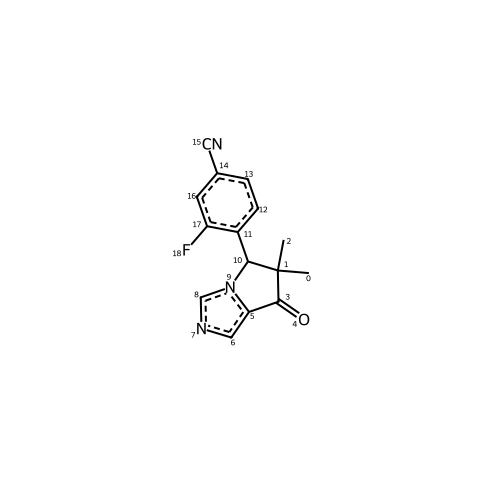 CC1(C)C(=O)c2cncn2C1c1ccc(C#N)cc1F